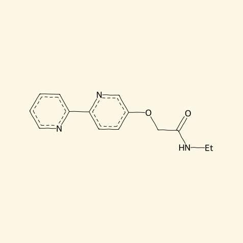 CCNC(=O)COc1ccc(-c2ccccn2)nc1